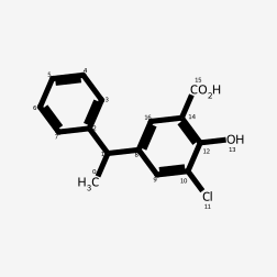 CC(c1ccccc1)c1cc(Cl)c(O)c(C(=O)O)c1